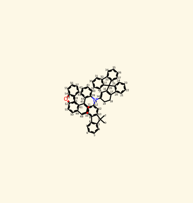 CC1(C)c2ccccc2-c2ccc(N(C3=CC4=C(CC3)c3ccccc3C43c4ccccc4-c4ccccc43)c3ccccc3C3=C=C=Cc4ccc5oc6ccccc6c5c43)cc21